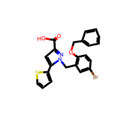 O=C(O)c1cc(-c2cccs2)n(Cc2cc(Br)ccc2OCc2ccccc2)n1